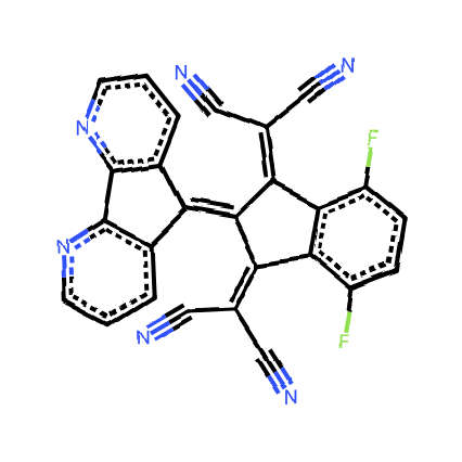 N#CC(C#N)=C1C(=C2c3cccnc3-c3ncccc32)C(=C(C#N)C#N)c2c(F)ccc(F)c21